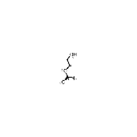 O=C(I)OCCO